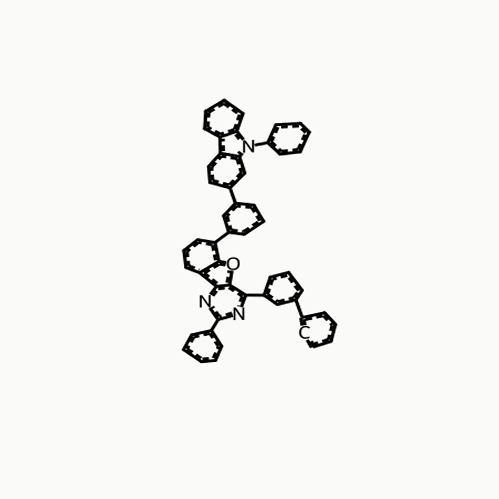 c1ccc(-c2cccc(-c3nc(-c4ccccc4)nc4c3oc3c(-c5cccc(-c6ccc7c8ccccc8n(-c8ccccc8)c7c6)c5)cccc34)c2)cc1